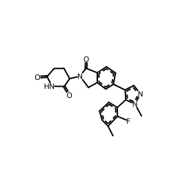 Cc1cccc(-c2c(-c3ccc4c(c3)CN(C3CCC(=O)NC3=O)C4=O)cnn2C)c1F